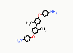 Cc1cc(Oc2ccc(N)cc2)ccc1-c1ccc(Oc2ccc(N)cc2)cc1C